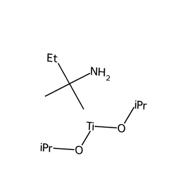 CC(C)[O][Ti][O]C(C)C.CCC(C)(C)N